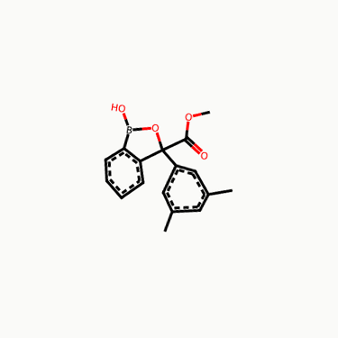 COC(=O)C1(c2cc(C)cc(C)c2)OB(O)c2ccccc21